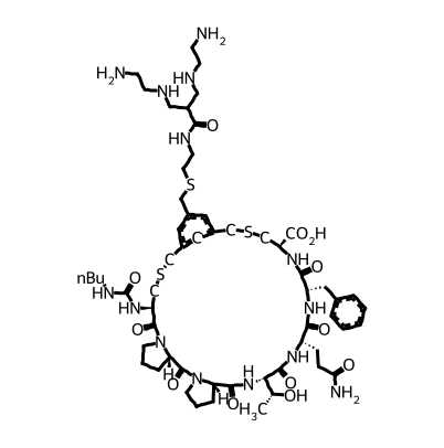 CCCCNC(=O)N[C@H]1CSCc2cc(CSCCNC(=O)C(CNCCN)CNCCN)cc(c2)CSC[C@@H](C(=O)O)NC(=O)[C@H](Cc2ccccc2)NC(=O)[C@H](CCC(N)=O)NC(=O)[C@H]([C@@H](C)O)NC(=O)[C@@H]2CCCN2C(=O)[C@@H]2CCCN2C1=O